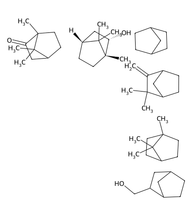 C1CC2CCC1C2.C=C1C2CCC(C2)C1(C)C.CC1(C)[C@@H]2CC[C@@]1(C)[C@@H](O)C2.CC12CCC(CC1)C2(C)C.CC12CCC(CC1=O)C2(C)C.OCC1CC2CCC1C2